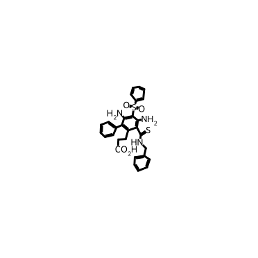 Nc1c(C(=S)NCc2ccccc2)c(CCC(=O)O)c(-c2ccccc2)c(N)c1S(=O)(=O)c1ccccc1